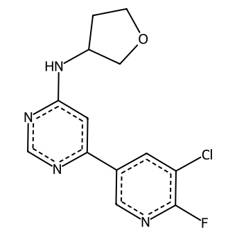 Fc1ncc(-c2cc(NC3CCOC3)ncn2)cc1Cl